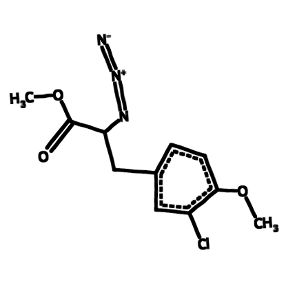 COC(=O)C(Cc1ccc(OC)c(Cl)c1)N=[N+]=[N-]